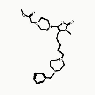 COC(=O)CN1CCN(C2OC(=O)N(C)C2CCCCN2CCN(Cc3ccccc3)CC2)CC1